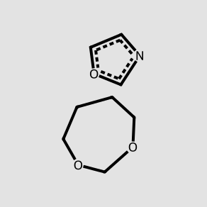 C1CCOCOC1.c1cocn1